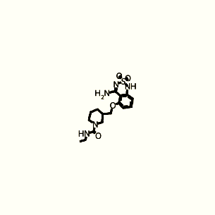 CCNC(=O)N1CCCC(COc2cccc3c2C(N)=NS(=O)(=O)N3)C1